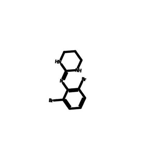 Brc1cccc(Br)c1N=C1NCCCN1